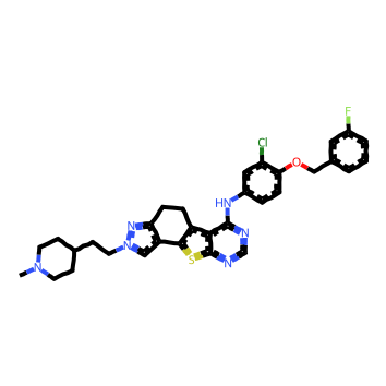 CN1CCC(CCn2cc3c(n2)CCc2c-3sc3ncnc(Nc4ccc(OCc5cccc(F)c5)c(Cl)c4)c23)CC1